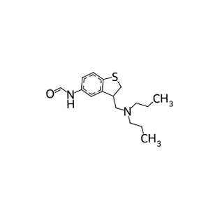 CCCN(CCC)CC1CSc2ccc(NC=O)cc21